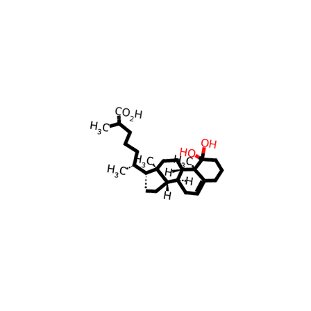 CC(CCC[C@@H](C)[C@H]1CC[C@H]2[C@@H]3CC=C4CCCC(O)(O)[C@]4(C)[C@H]3CC[C@]12C)C(=O)O